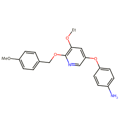 CCOc1cc(Oc2ccc(N)cc2)cnc1OCc1ccc(OC)cc1